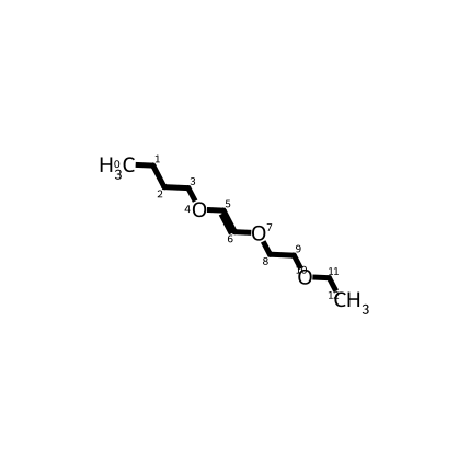 CCCCO/C=C/OCCOCC